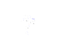 [2H]c1nc(Nc2c([2H])c(C(=O)Nc3cc(C)cc(-n4c([2H])nc(C)c4[2H])c3)c([2H])c([2H])c2C([2H])([2H])[2H])nc(-c2c([2H])nc([2H])c([2H])c2[2H])c1[2H]